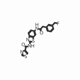 O=C(Cc1cccc(CF)c1)Nc1ccc2nc(NC(=O)c3cscn3)sc2c1